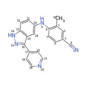 Cc1cc(C#N)ccc1Nc1ccc2[nH]nc(-c3ccncc3)c2c1